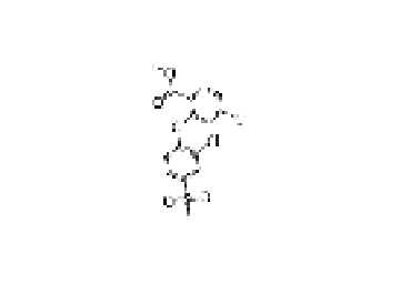 COC(=O)c1ccc(Cl)cc1Oc1ccc(S(C)(=O)=O)cc1Cl